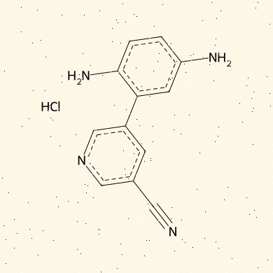 Cl.N#Cc1cncc(-c2cc(N)ccc2N)c1